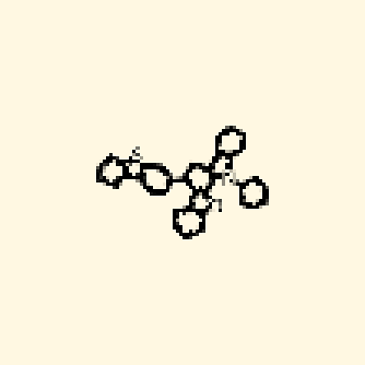 c1ccc(-n2c3ccccc3c3cc(-c4ccc5c(c4)sc4ccccc45)c4c5ccccc5oc4c32)cc1